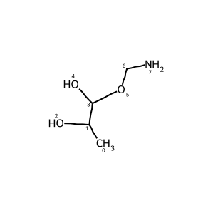 CC(O)C(O)OCN